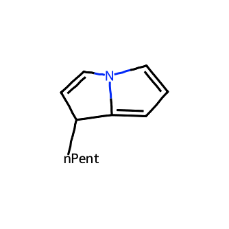 CCCCCC1C=Cn2cccc21